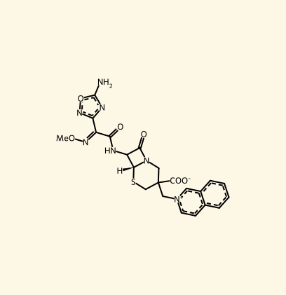 CON=C(C(=O)NC1C(=O)N2CC(C[n+]3ccc4ccccc4c3)(C(=O)[O-])CS[C@H]12)c1noc(N)n1